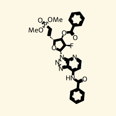 COP(=O)(/C=C/[C@H]1O[C@@H](n2nnc3c(NC(=O)c4ccccc4)ccnc32)[C@H](F)[C@@H]1OC(=O)c1ccccc1)OC